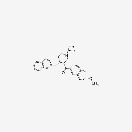 COc1ccc2cc(C(=O)C3CN(C4CCC4)CCN3Cc3ccc4ccccc4c3)ccc2c1